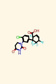 O=C1CCN(c2cc(C3(F)C(F)(C(=O)O)C=CC(F)C3(F)F)ccc2Cl)C(=O)N1